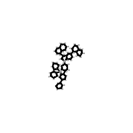 c1ccc(-c2ccc3c(c2)[Si](c2ccccc2)(c2ccccc2)c2cc(-n4cc(-c5cccc6ccccc56)c5cc(-c6cccc7ccccc67)ccc54)ccc2-3)cc1